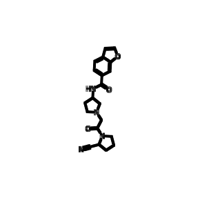 N#CC1CCCN1C(=O)CN1CCC(NC(=O)c2ccc3ccoc3c2)C1